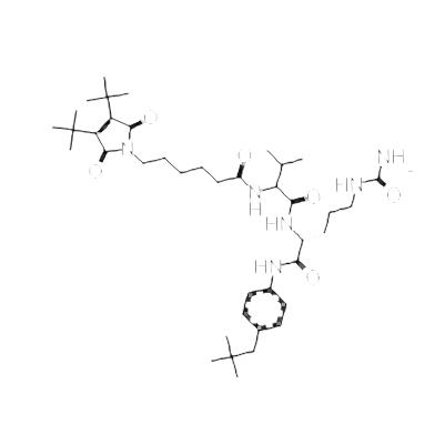 CC(C)C(NC(=O)CCCCCN1C(=O)C(C(C)(C)C)=C(C(C)(C)C)C1=O)C(=O)N[C@H](CCCNC(N)=O)C(=O)Nc1ccc(CC(C)(C)C)cc1